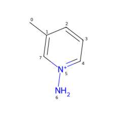 Cc1ccc[n+](N)c1